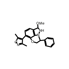 COC1NN2c3c1ccc(-c1c(C)noc1C)c3OCC2c1ccccc1